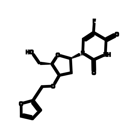 O=c1[nH]c(=O)n([C@@H]2CC(OCc3ccco3)[C@H](CO)O2)cc1F